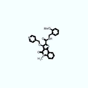 COc1ccccc1CNC(=O)c1sc2c(c1OCc1ccncc1)c(=O)n(C)c1ccccc21